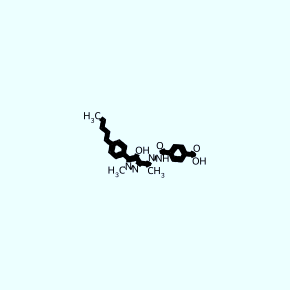 CCCCCc1ccc(-c2c(O)c(C(C)=NNC(=O)c3ccc(C(=O)O)cc3)nn2C)cc1